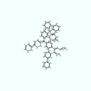 C=C/C=C(\C=C)c1ccc(N(C2=CC=C(C3=CC=CCC3)CC2)c2ccc3c(c2)C2(C(C=C)=C(C=C)c4ccccc42)c2ccccc2-3)cc1-c1ccc(-c2ccccc2)cc1